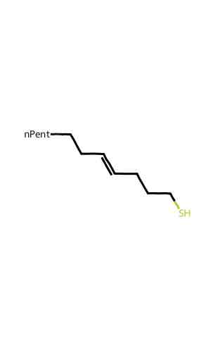 CCCCCCC/C=C/CCCS